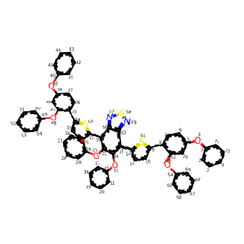 c1ccc(Oc2ccc(-c3ccc(-c4c(Oc5ccccc5)c(Oc5ccccc5)c(-c5ccc(-c6ccc(Oc7ccccc7)cc6Oc6ccccc6)s5)c5nsnc45)s3)c(Oc3ccccc3)c2)cc1